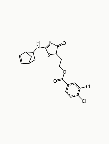 O=C(OCCC1SC(NC2CC3C=CC2C3)=NC1=O)c1ccc(Cl)c(Cl)c1